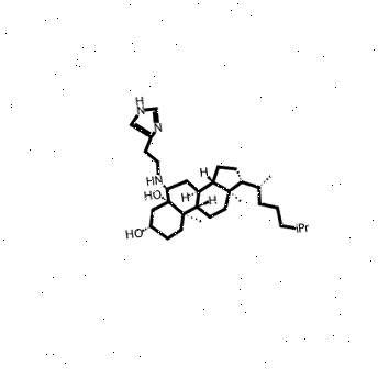 CC(C)CCC[C@@H](C)[C@H]1CC[C@H]2[C@@H]3C[C@@H](NCCc4c[nH]cn4)[C@]4(O)C[C@@H](O)CC[C@]4(C)[C@H]3CC[C@]12C